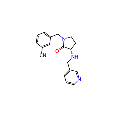 N#Cc1cccc(CN2CC[C@H](NCc3cccnc3)C2=O)c1